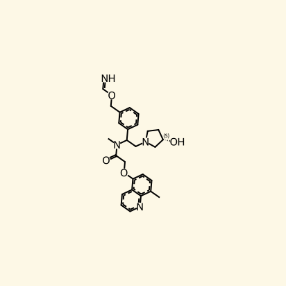 Cc1ccc(OCC(=O)N(C)C(CN2CC[C@H](O)C2)c2cccc(COC=N)c2)c2cccnc12